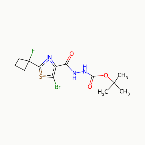 CC(C)(C)OC(=O)NNC(=O)c1nc(C2(F)CCC2)sc1Br